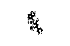 N#Cc1cc(C2=CCOCC2)c2nncn2c1NCc1c(F)ccc2c1CCO2